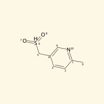 Cc1ccc(C[SH](=O)=O)cn1